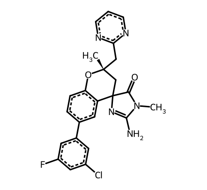 CN1C(=O)C2(C[C@@](C)(Cc3ncccn3)Oc3ccc(-c4cc(F)cc(Cl)c4)cc32)N=C1N